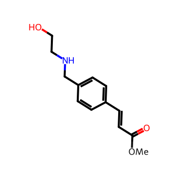 COC(=O)/C=C/c1ccc(CNCCO)cc1